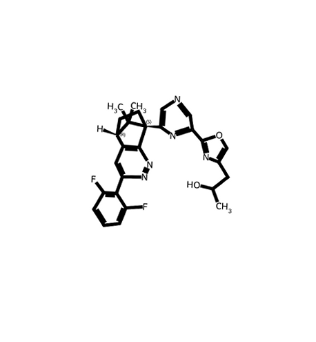 CC(O)Cc1coc(-c2cncc([C@@]34CC[C@@H](c5cc(-c6c(F)cccc6F)nnc53)C4(C)C)n2)n1